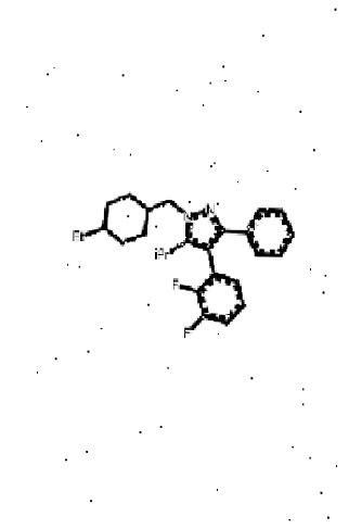 CCC1CCC(Cn2nc(-c3ccccc3)c(-c3cccc(F)c3F)c2C(C)C)CC1